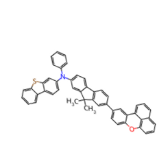 CC1(C)c2cc(-c3ccc4c(c3)-c3cccc5cccc(c35)O4)ccc2-c2ccc(N(c3ccccc3)c3ccc4c(c3)sc3ccccc34)cc21